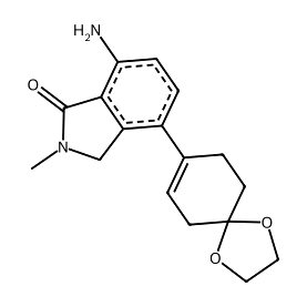 CN1Cc2c(C3=CCC4(CC3)OCCO4)ccc(N)c2C1=O